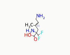 C/C(=C\CN)CC(N)(C(=O)O)C(F)F